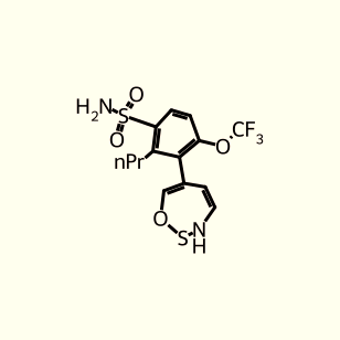 CCCc1c(S(N)(=O)=O)ccc(OC(F)(F)F)c1-c1cc[nH]soc1